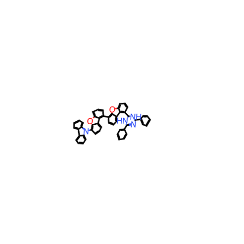 c1ccc(C2=NC(c3ccccc3)NC(c3cccc4oc5c(-c6cccc7oc8c(-n9c%10ccccc%10c%10ccccc%109)cccc8c67)cccc5c34)N2)cc1